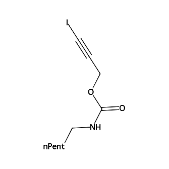 CCCCCCNC(=O)OCC#CI